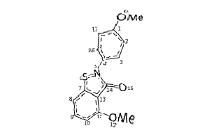 COc1ccc(-n2sc3cccc(OC)c3c2=O)cc1